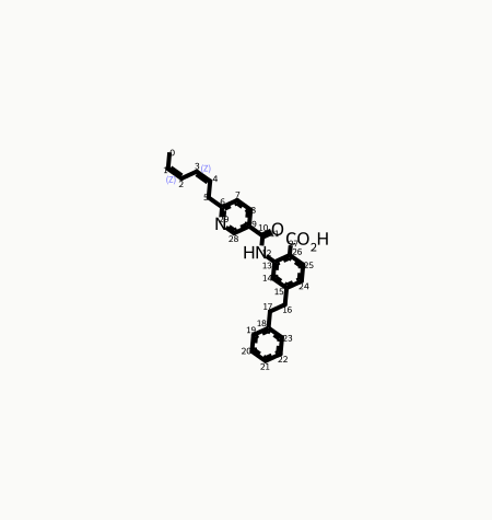 C/C=C\C=C/Cc1ccc(C(=O)Nc2cc(CCc3ccccc3)ccc2C(=O)O)cn1